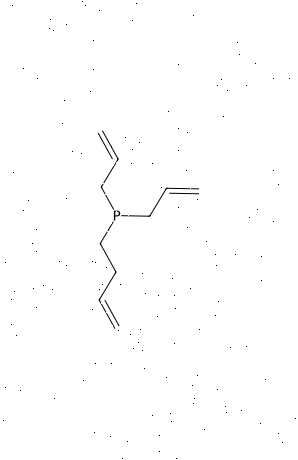 C=CCCP(CC=C)CC=C